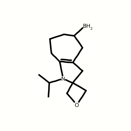 BC1CCCC2=C(C1)CC1(COC1)N2C(C)C